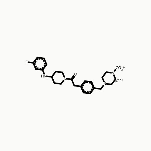 C[C@@H]1CN(Cc2ccc(CC(=O)N3CCC(Nc4cccc(F)c4)CC3)cc2)CCN1C(=O)O